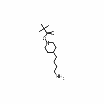 CC(C)(C)C(=O)ON1CCC(CCCCN)CC1